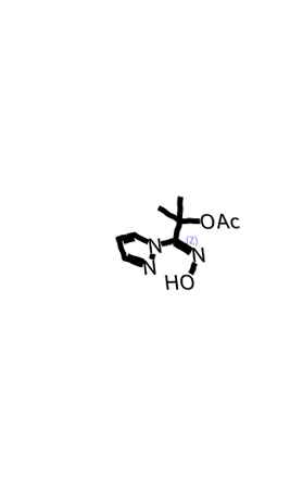 CC(=O)OC(C)(C)/C(=N/O)n1cccn1